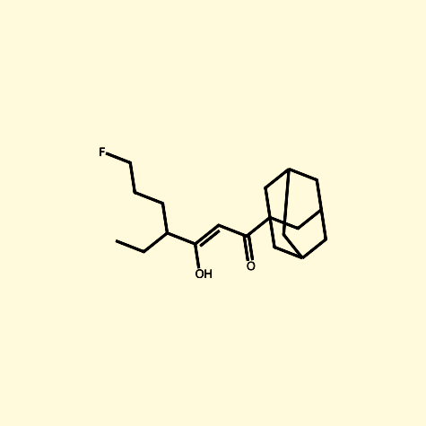 CCC(CCCF)/C(O)=C/C(=O)C12CC3CC(CC(C3)C1)C2